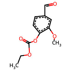 CCOC(=O)Oc1ccc(C=O)cc1OC